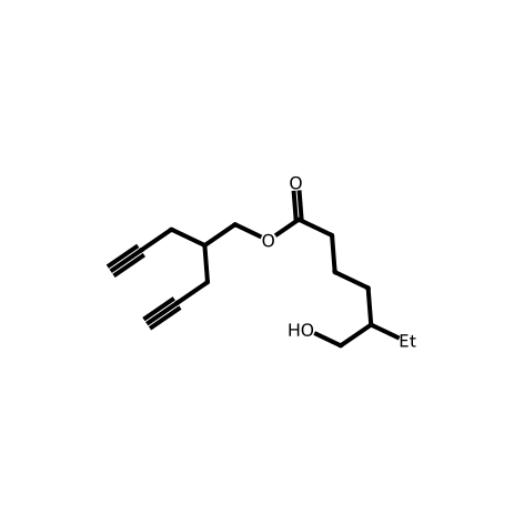 C#CCC(CC#C)COC(=O)CCCC(CC)CO